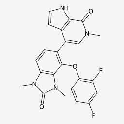 Cn1cc(-c2ccc3c(c2Oc2ccc(F)cc2F)n(C)c(=O)n3C)c2cc[nH]c2c1=O